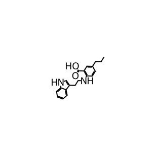 CCCc1ccc(NCCc2c[nH]c3ccccc23)c(C(=O)O)c1